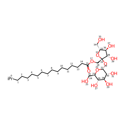 CC(C)CCCCCCCCCCCCCCC(=O)OC[C@@]1(O[C@H]2O[C@H](CO)[C@@H](O)[C@H](O)[C@H]2O)O[C@H](CO)[C@@H](O)[C@@H]1O